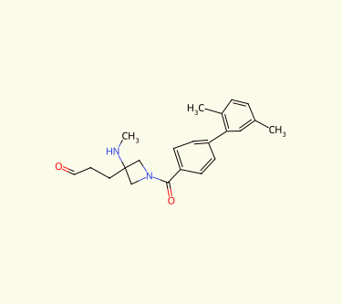 CNC1(CCC=O)CN(C(=O)c2ccc(-c3cc(C)ccc3C)cc2)C1